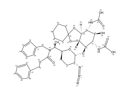 C[C@@H]([C@@H]1CC[C@@H](N=[N+]=[N-])[C@@H](O[C@@H]2[C@@H](NC(=O)O)[C@H](O)[C@@H](NC(=O)O)[C@@H]3OC4(CCCCC4)O[C@@H]23)O1)N(Cc1ccccc1)C(=O)OCc1ccccc1